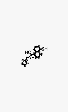 OC(NCc1cccs1)c1ccnc2c(S)cccc12